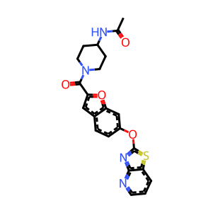 CC(=O)NC1CCN(C(=O)c2cc3ccc(Oc4nc5ncccc5s4)cc3o2)CC1